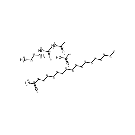 CC(=O)O.CC(=O)O.CC(=O)O.CCCCCCCCCCCCCCCCCC(N)=O.NCCN